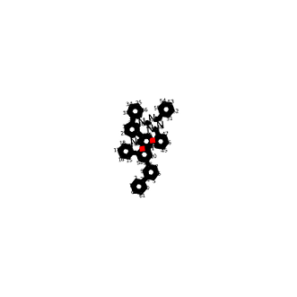 c1ccc(-c2cccc(-c3cccc(-c4ccccc4-n4c5ccccc5c5c4ccc4c6ccccc6n(-c6nc(-c7ccccc7)nc(-c7ccccc7)n6)c45)c3)c2)cc1